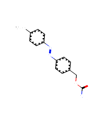 COc1ccc(/N=N/c2ccc(COC(N)=O)cc2)cc1